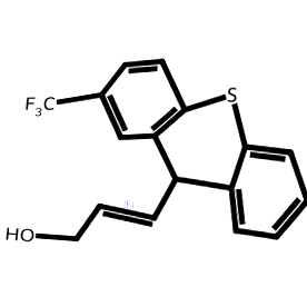 OC/C=C/C1c2ccccc2Sc2ccc(C(F)(F)F)cc21